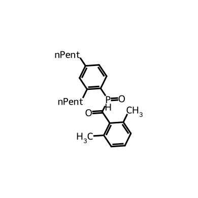 CCCCCc1ccc([PH](=O)C(=O)c2c(C)cccc2C)c(CCCCC)c1